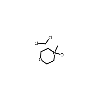 C[N+]1([O-])CCOCC1.ClCCl